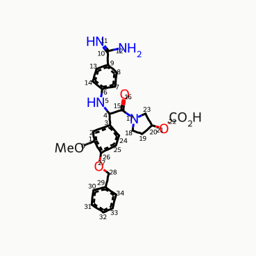 COc1cc(C(Nc2ccc(C(=N)N)cc2)C(=O)N2CCC(OC(=O)O)C2)ccc1OCc1ccccc1